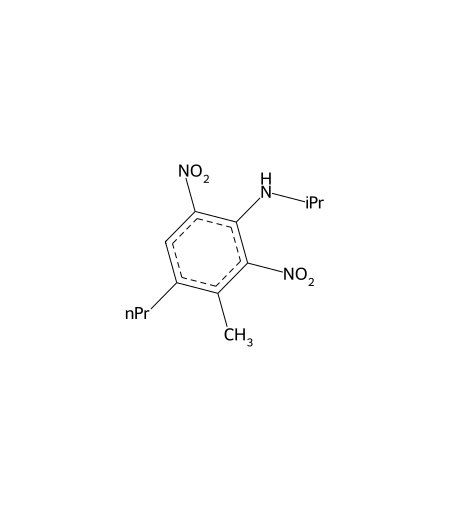 CCCc1cc([N+](=O)[O-])c(NC(C)C)c([N+](=O)[O-])c1C